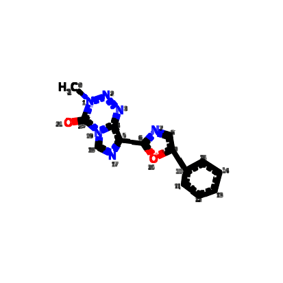 Cn1nnc2c(-c3ncc(-c4ccccc4)o3)ncn2c1=O